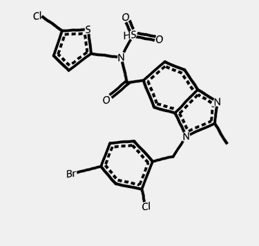 Cc1nc2ccc(C(=O)N(c3ccc(Cl)s3)[SH](=O)=O)cc2n1Cc1ccc(Br)cc1Cl